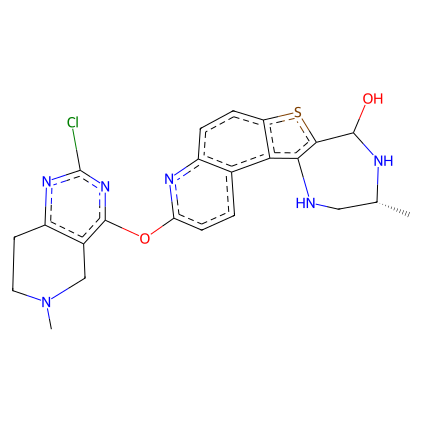 C[C@@H]1CNc2c(sc3ccc4nc(Oc5nc(Cl)nc6c5CN(C)CC6)ccc4c23)C(O)N1